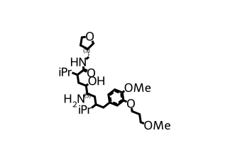 COCCCOc1cc(CC(C[C@H](N)C(O)CC(C(=O)NC[C@@H]2CCOC2)C(C)C)C(C)C)ccc1OC